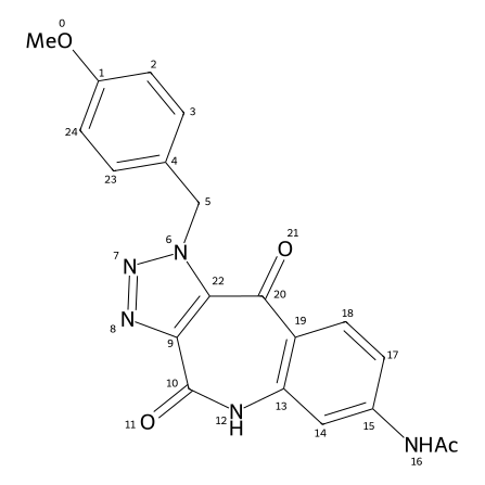 COc1ccc(Cn2nnc3c(=O)[nH]c4cc(NC(C)=O)ccc4c(=O)c32)cc1